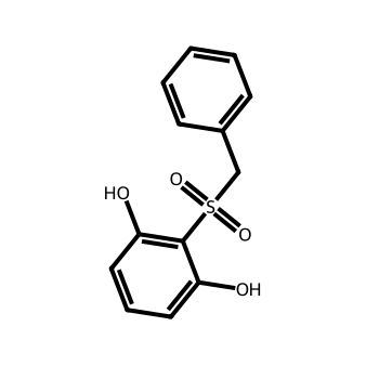 O=S(=O)(Cc1ccccc1)c1c(O)cccc1O